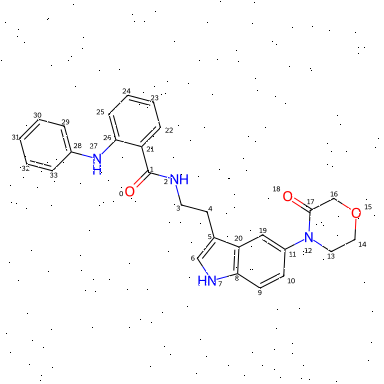 O=C(NCCc1c[nH]c2ccc(N3CCOCC3=O)cc12)c1ccccc1Nc1ccccc1